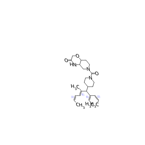 C/C=C\C=C(/C)C(C(/C=C\C)=C/C)C1CCN(C(=O)N2CCC3OCC(=O)NC3C2)CC1